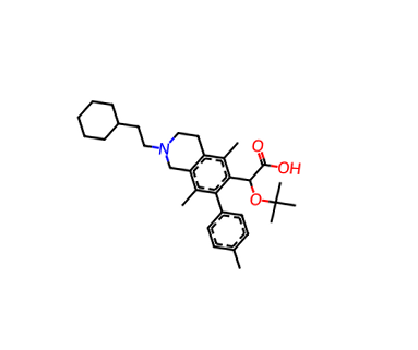 Cc1ccc(-c2c(C)c3c(c(C)c2C(OC(C)(C)C)C(=O)O)CCN(CCC2CCCCC2)C3)cc1